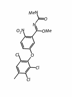 CNC(=O)N=C(OC)c1cc(Oc2c(Cl)cc(C)c(Cl)c2Cl)ccc1[N+](=O)[O-]